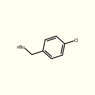 C[CH]CCCc1ccc(Cl)cc1